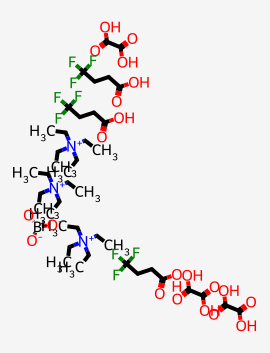 CC[N+](CC)(CC)CC.CC[N+](CC)(CC)CC.CC[N+](CC)(CC)CC.O=C(O)C(=O)O.O=C(O)C(=O)O.O=C(O)C(=O)O.O=C(O)CCC(F)(F)F.O=C(O)CCC(F)(F)F.O=C(O)CCC(F)(F)F.[O-]B([O-])[O-]